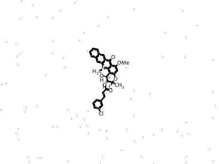 COc1cc2c(c3c1c(=O)c1cc4ccccc4cc1n3C)[C@H](O)[C@H](OC(=O)C=Cc1cccc(Cl)c1)C(C)(C)O2